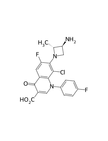 C[C@@H]1[C@@H](N)CN1c1c(F)cc2c(=O)c(C(=O)O)cn(-c3ccc(F)cc3)c2c1Cl